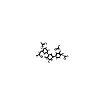 CC(=O)Oc1ccc(-c2cc(-c3ccc(OC(C)=O)c(OC(C)=O)c3)c(C)c(C)n2)cc1OC(C)=O